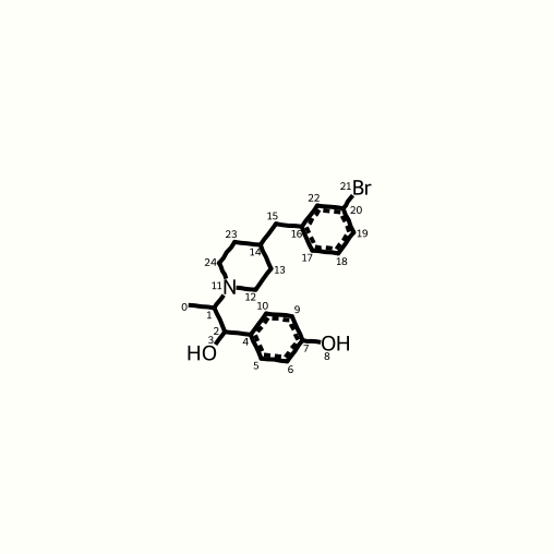 CC(C(O)c1ccc(O)cc1)N1CCC(Cc2cccc(Br)c2)CC1